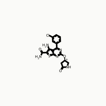 NC(=O)c1sc2nc(O[C@H]3CNC(=O)C3)nc(-c3cccc(Cl)c3)c2c1N